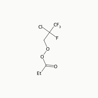 CCC(=O)OOCC(F)(Cl)C(F)(F)F